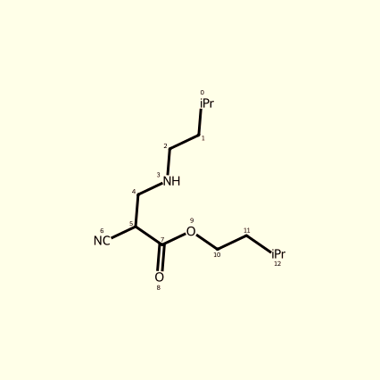 CC(C)CCNCC(C#N)C(=O)OCCC(C)C